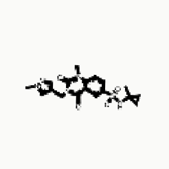 Cn1cc(Cn2c(=O)c3cc(S(=O)(=O)NC4(C)CC4)ccc3n(C)c2=O)cn1